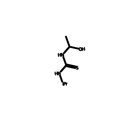 CC(C)NC(=S)NC(C)O